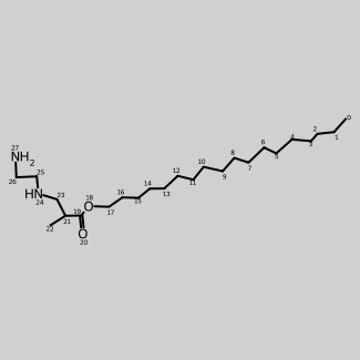 CCCCCCCCCCCCCCCCCCOC(=O)C(C)CNCCN